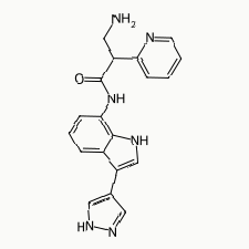 NCC(C(=O)Nc1cccc2c(-c3cn[nH]c3)c[nH]c12)c1ccccn1